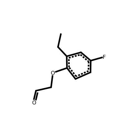 CCc1cc(F)ccc1OCC=O